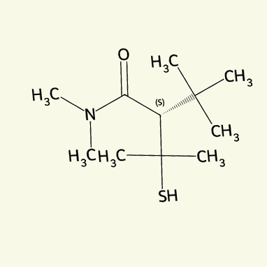 CN(C)C(=O)[C@H](C(C)(C)C)C(C)(C)S